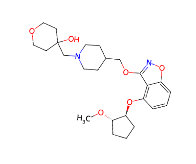 CO[C@H]1CCC[C@@H]1Oc1cccc2onc(OCC3CCN(CC4(O)CCOCC4)CC3)c12